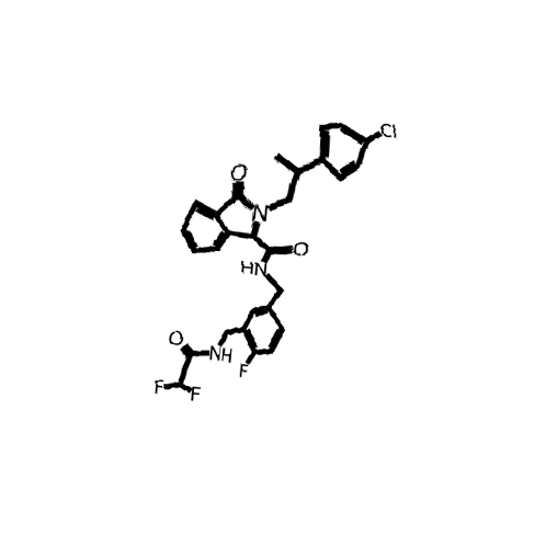 CC(CN1C(=O)c2ccccc2C1C(=O)NCc1ccc(F)c(CNC(=O)C(F)F)c1)c1ccc(Cl)cc1